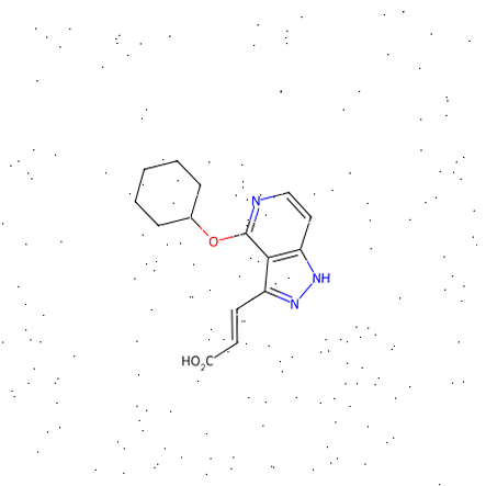 O=C(O)C=Cc1n[nH]c2ccnc(OC3CCCCC3)c12